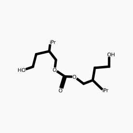 CC(C)C(CCO)COC(=O)OCC(CCO)C(C)C